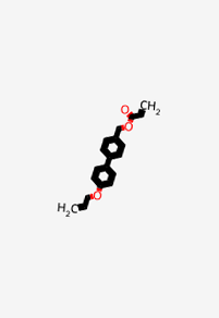 C=CCOc1ccc(-c2ccc(COC(=O)C=C)cc2)cc1